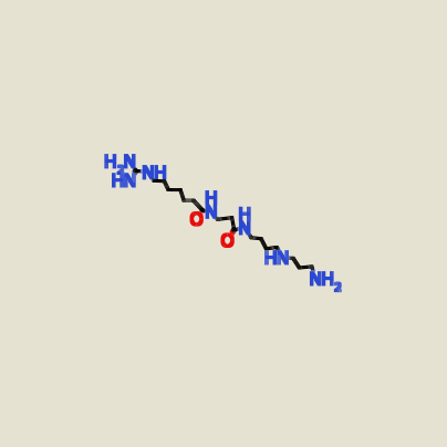 N=C(N)NCCCCCCC(=O)NCCC(=O)NCCCCNCCCN